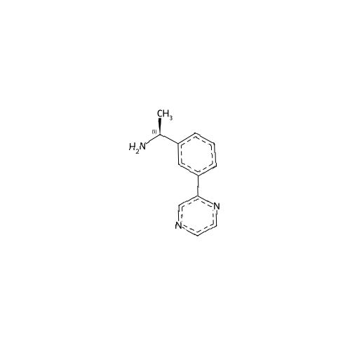 C[C@H](N)c1cccc(-c2cnccn2)c1